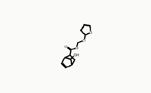 O=C(OCOC1CCCO1)C1CC2C=CC1C2O